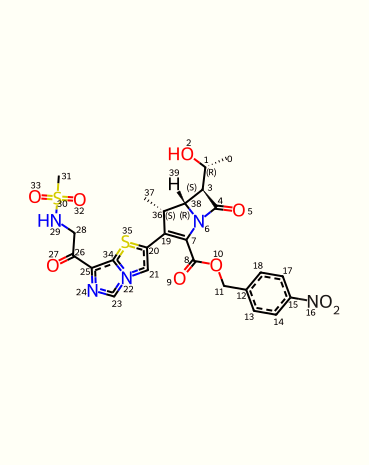 C[C@@H](O)[C@H]1C(=O)N2C(C(=O)OCc3ccc([N+](=O)[O-])cc3)=C(c3cn4cnc(C(=O)CNS(C)(=O)=O)c4s3)[C@H](C)[C@H]12